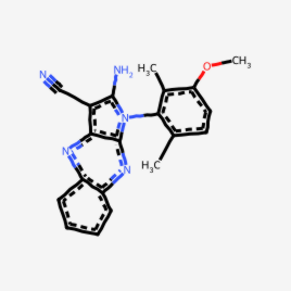 COc1ccc(C)c(-n2c(N)c(C#N)c3nc4ccccc4nc32)c1C